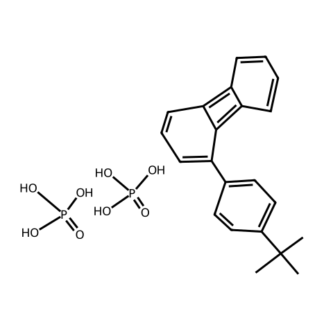 CC(C)(C)c1ccc(-c2cccc3c2=c2ccccc2=3)cc1.O=P(O)(O)O.O=P(O)(O)O